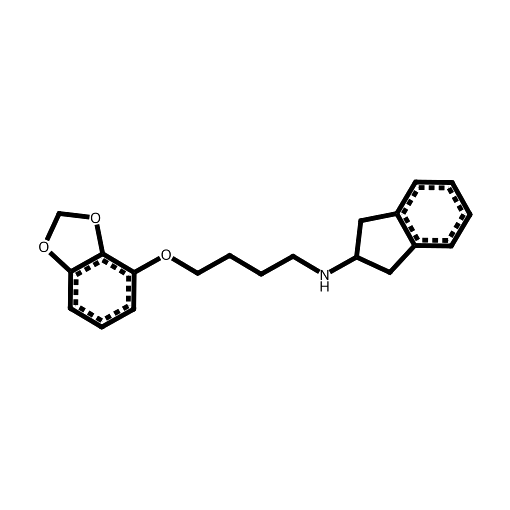 c1ccc2c(c1)CC(NCCCCOc1cccc3c1OCO3)C2